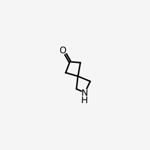 O=C1CC2(CNC2)C1